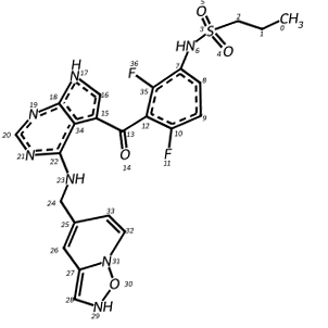 CCCS(=O)(=O)Nc1ccc(F)c(C(=O)c2c[nH]c3ncnc(NCC4=CC5=CNON5C=C4)c23)c1F